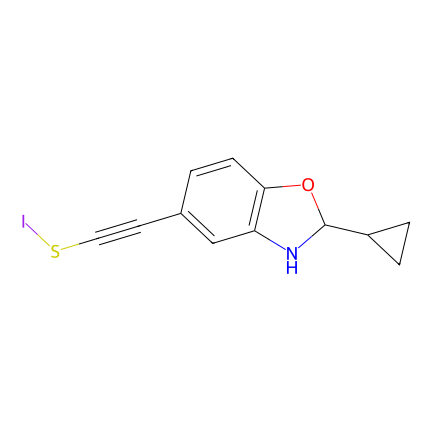 ISC#Cc1ccc2c(c1)NC(C1CC1)O2